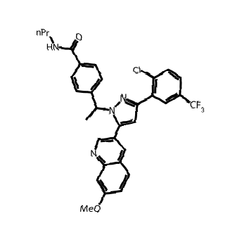 CCCNC(=O)c1ccc(C(C)n2nc(-c3cc(C(F)(F)F)ccc3Cl)cc2-c2cnc3cc(OC)ccc3c2)cc1